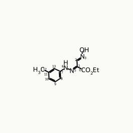 CCOC(=O)C(C=NO)=NNc1cccc(C)c1